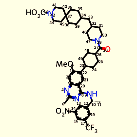 COc1cc2nc(C)nc(N[C@H](C)c3cc([N+](=O)[O-])cc(C(F)(F)F)c3)c2cc1C1CCC(C(=O)N2CCC(CC3CCC4(CC3)CCN(C(=O)O)CC4)CC2)CC1